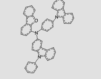 c1ccc(-n2c3ccccc3c3cc(N(c4ccc(-n5c6ccccc6c6ccccc65)cc4)c4cccc5c4oc4ccccc45)ccc32)cc1